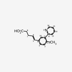 Cc1ccc(C=CCCC(=O)O)cc1-c1ccccn1